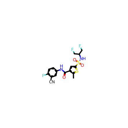 Cc1sc(S(=O)(=O)NC(CF)CF)cc1C(=O)Nc1ccc(F)c(C#N)c1